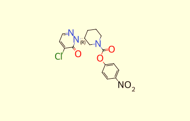 O=C(Oc1ccc([N+](=O)[O-])cc1)N1CCC[C@@H](n2nccc(Cl)c2=O)C1